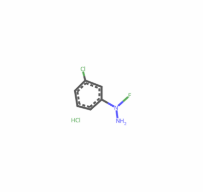 Cl.NN(F)c1cccc(Cl)c1